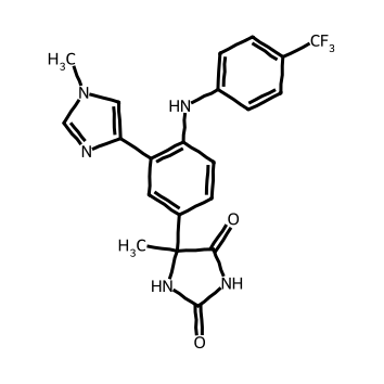 Cn1cnc(-c2cc(C3(C)NC(=O)NC3=O)ccc2Nc2ccc(C(F)(F)F)cc2)c1